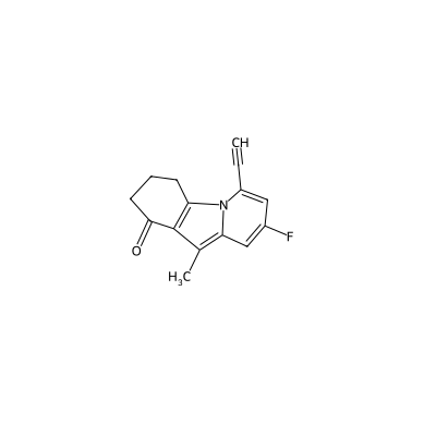 C#Cc1cc(F)cc2c(C)c3c(n12)CCCC3=O